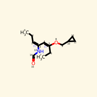 CC/C=C(\C=C(/CC)OCC1CC1)NC=O